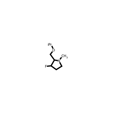 CC(C)OCC1C(F)CCN1C